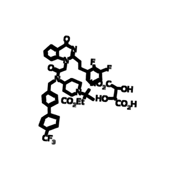 CCOC(=O)C(C)(C)N1CCC(N(Cc2ccc(-c3ccc(C(F)(F)F)cc3)cc2)C(=O)Cn2c(CCc3cccc(F)c3F)nc(=O)c3ccccc32)CC1.O=C(O)C(O)C(O)C(=O)O